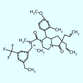 C=CCC1(CC=C)CC2C(c3ccc(OC)cc3C)N(C(=O)N(C)[C@H](C)c3cc(CC)cc(C(F)(F)F)c3)CCN2C1=O